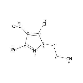 CC(C)c1nn(CCC#N)c(Cl)c1C=O